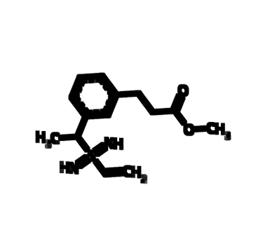 C=CS(=N)(=N)C(C)c1cccc(CCC(=O)OC)c1